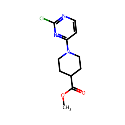 COC(=O)C1CCN(c2ccnc(Cl)n2)CC1